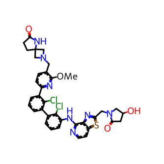 COc1nc(-c2cccc(-c3cccc(Nc4nccc5sc(CN6CC(O)CC6=O)nc45)c3Cl)c2Cl)ccc1CN1CC2(CCC(=O)N2)C1